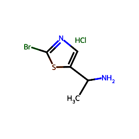 CC(N)c1cnc(Br)s1.Cl